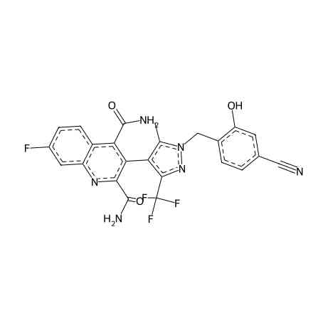 Cc1c(-c2c(C(N)=O)nc3cc(F)ccc3c2C(N)=O)c(C(F)(F)F)nn1Cc1ccc(C#N)cc1O